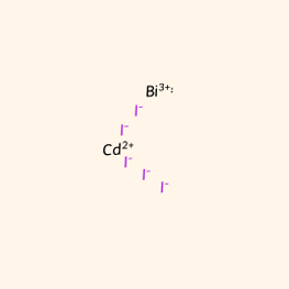 [Bi+3].[Cd+2].[I-].[I-].[I-].[I-].[I-]